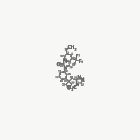 C=Cc1cc(C(F)(F)F)c2cn(-c3cccc(C4(Cc5nncn5C)COC4)c3)c(=O)n2c1